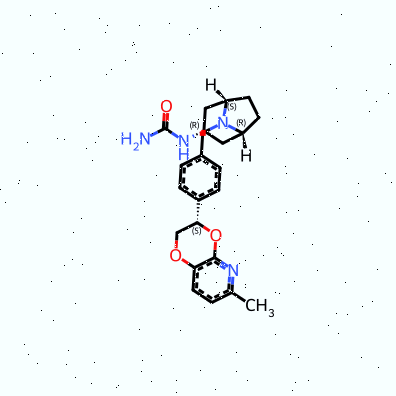 Cc1ccc2c(n1)O[C@@H](c1ccc(CN3[C@@H]4CC[C@H]3C[C@@H](NC(N)=O)C4)cc1)CO2